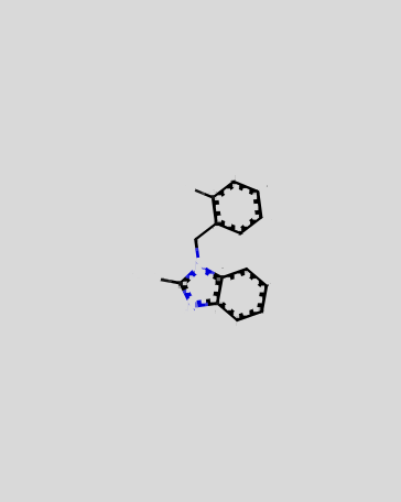 O=Cc1nc2ccccc2n1Cc1ccccc1C(F)(F)F